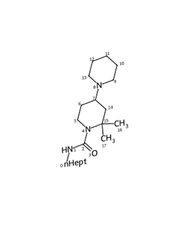 CCCCCCCNC(=O)N1CCC(N2CCCCC2)CC1(C)C